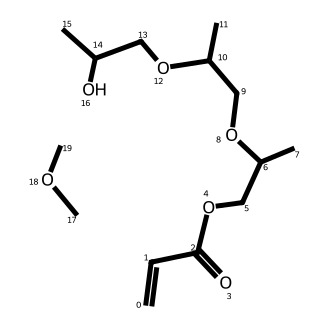 C=CC(=O)OCC(C)OCC(C)OCC(C)O.COC